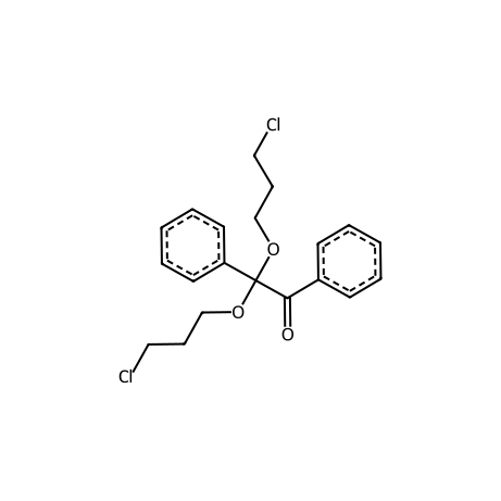 O=C(c1ccccc1)C(OCCCCl)(OCCCCl)c1ccccc1